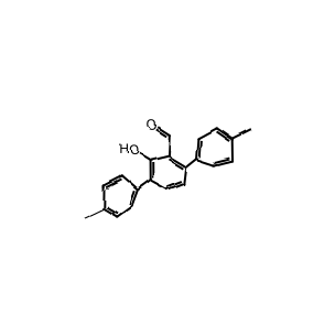 Cc1ccc(-c2ccc(-c3ccc(C)cc3)c(C=O)c2O)cc1